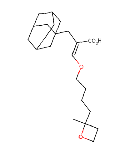 CC1(CCCCOC=C(CC23CC4CC(CC(C4)C2)C3)C(=O)O)CCO1